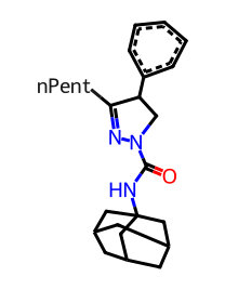 CCCCCC1=NN(C(=O)NC23CC4CC(CC(C4)C2)C3)CC1c1ccccc1